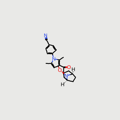 CO[C@H]1C[C@H]2CC[C@@H](C1)N2CC(=O)c1cc(C)n(-c2ccc(C#N)cc2)c1C